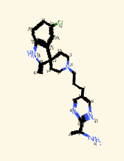 C=C(N)c1ncc(CCCN2CCC3(CC2)C(=C)Nc2ccc(Cl)cc23)cn1